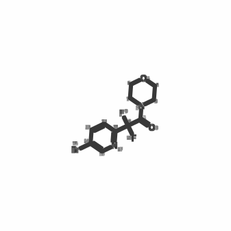 O=C(N1CCOCC1)C(F)(F)c1ccc(Br)cn1